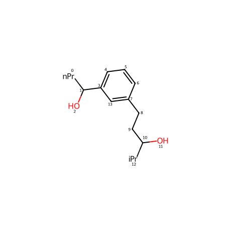 CCCC(O)c1cccc(CCC(O)C(C)C)c1